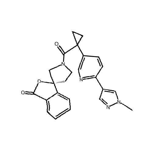 Cn1cc(-c2ccc(C3(C(=O)N4CC[C@@]5(C4)OC(=O)c4ccccc45)CC3)cn2)cn1